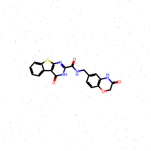 O=C1COc2ccc(CNC(=O)c3nc4sc5ccccc5c4c(=O)[nH]3)cc2N1